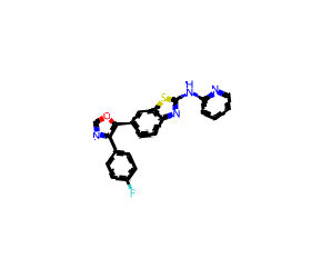 Fc1ccc(-c2ncoc2-c2ccc3nc(Nc4ccccn4)sc3c2)cc1